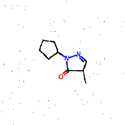 CC1C=NN(C2CCCC2)C1=O